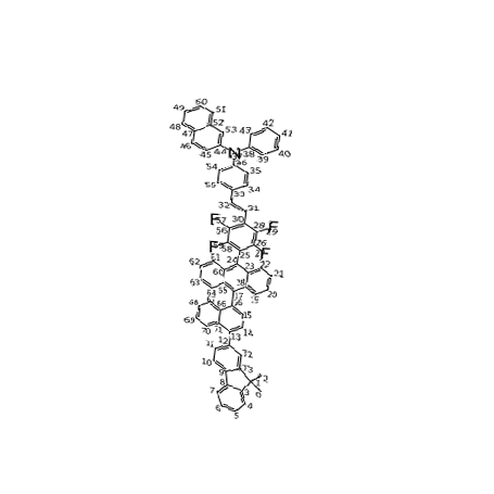 CC1(C)c2ccccc2-c2ccc(-c3ccc(-c4c5ccccc5c(-c5c(F)c(F)c(/C=C/c6ccc(N(c7ccccc7)c7ccc8ccccc8c7)cc6)c(F)c5F)c5ccccc45)c4ccccc34)cc21